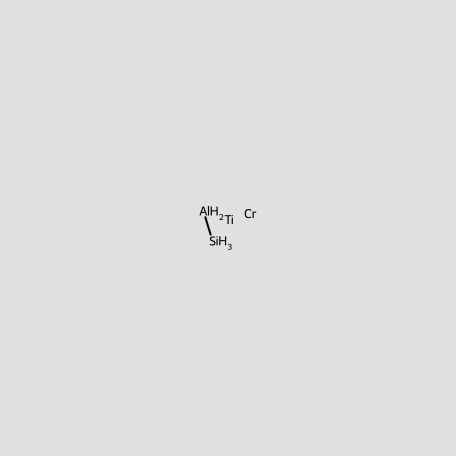 [AlH2][SiH3].[Cr].[Ti]